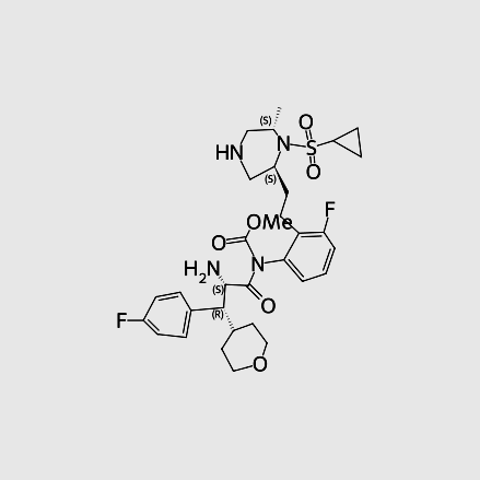 COC(=O)N(C(=O)[C@@H](N)[C@@H](c1ccc(F)cc1)C1CCOCC1)c1cccc(F)c1CC[C@H]1CNC[C@H](C)N1S(=O)(=O)C1CC1